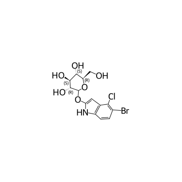 OC[C@H]1OC(Oc2cc3c(Cl)c(Br)ccc3[nH]2)[C@H](O)[C@@H](O)[C@@H]1O